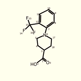 O=C(O)C1CCN(c2ccccc2C(F)(F)F)CC1